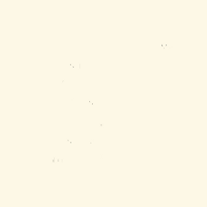 CCCCNC(=O)[C@H]1Cc2cc(OC)ccc2N1C(=O)[C@@H](N)C(C)C